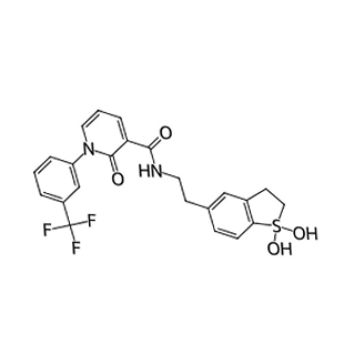 O=C(NCCc1ccc2c(c1)CCS2(O)O)c1cccn(-c2cccc(C(F)(F)F)c2)c1=O